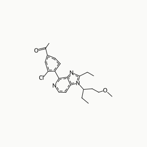 CCc1nc2c(-c3ccc(C(C)=O)cc3Cl)nccc2n1C(CC)CCOC